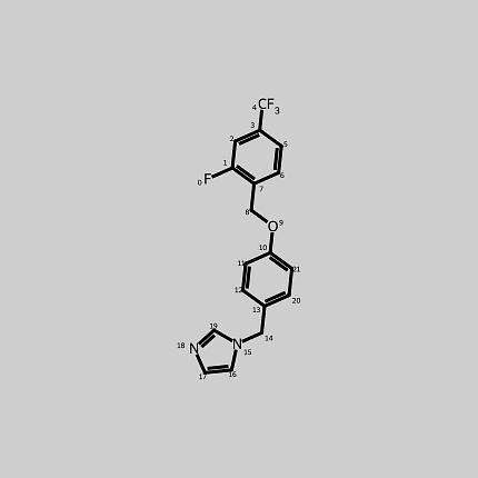 Fc1cc(C(F)(F)F)ccc1COc1ccc(Cn2ccnc2)cc1